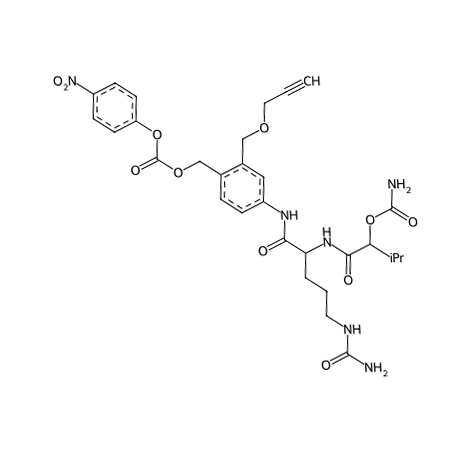 C#CCOCc1cc(NC(=O)C(CCCNC(N)=O)NC(=O)C(OC(N)=O)C(C)C)ccc1COC(=O)Oc1ccc([N+](=O)[O-])cc1